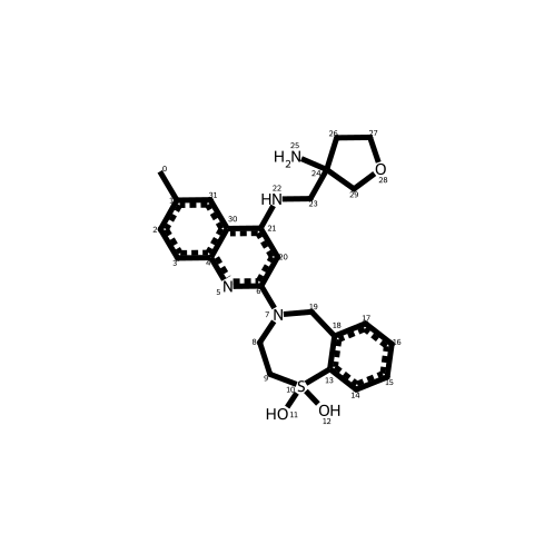 Cc1ccc2nc(N3CCS(O)(O)c4ccccc4C3)cc(NCC3(N)CCOC3)c2c1